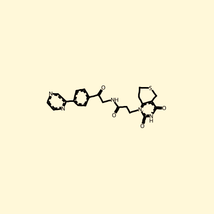 O=C(CCn1c2c(c(=O)[nH]c1=O)CSCC2)NCC(=O)c1ccc(-c2cnccn2)cc1